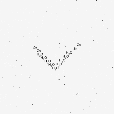 O.O.O.O.O.O.O.O.O.[Zn].[Zn].[Zn].[Zn]